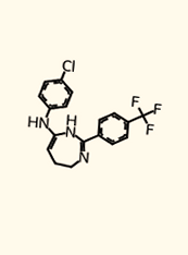 FC(F)(F)c1ccc(C2=NCCC=C(Nc3ccc(Cl)cc3)N2)cc1